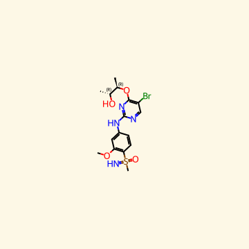 COc1cc(Nc2ncc(Br)c(O[C@H](C)[C@@H](C)O)n2)ccc1S(C)(=N)=O